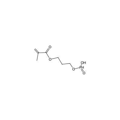 C=C(C)C(=O)OCCCO[PH](=O)O